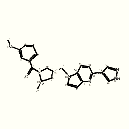 COc1cccc(C(=O)N2C[C@H](Cn3ccc4nc(-c5cn[nH]c5)ccc43)C[C@H]2C)c1